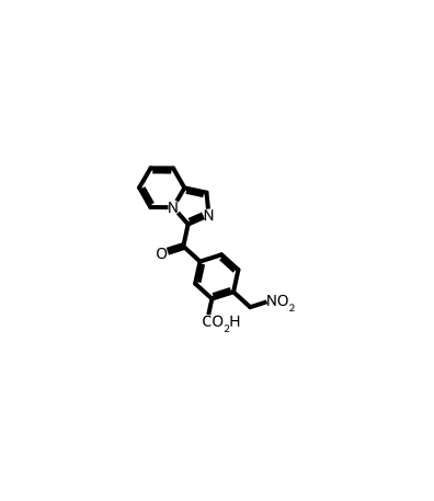 O=C(O)c1cc(C(=O)c2ncc3ccccn23)ccc1C[N+](=O)[O-]